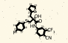 N#Cc1ccc(NC(=O)[C@@](O)(CSc2ccc(F)cc2)Cc2cccs2)cc1C(F)(F)F